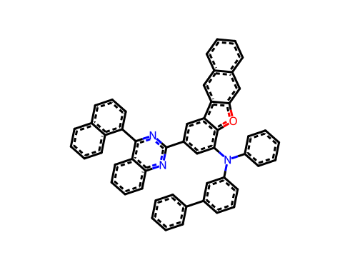 c1ccc(-c2cccc(N(c3ccccc3)c3cc(-c4nc(-c5cccc6ccccc56)c5ccccc5n4)cc4c3oc3cc5ccccc5cc34)c2)cc1